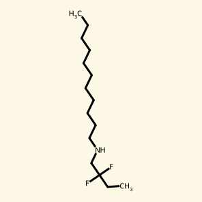 CCCCCCCCCCCNCC(F)(F)CC